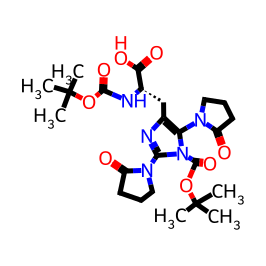 CC(C)(C)OC(=O)N[C@@H](Cc1nc(N2CCCC2=O)n(C(=O)OC(C)(C)C)c1N1CCCC1=O)C(=O)O